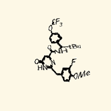 COc1ccc(Cc2nc(C(=O)N[C@@H](c3ccc(OC(F)(F)F)cc3)C(C)(C)C)cc(=O)[nH]2)cc1F